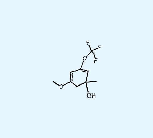 COC1=CC(OC(F)(F)F)=CC(C)(O)C1